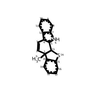 CC12C=Cc3c([nH]c4ccccc34)C1Sc1ccccc12